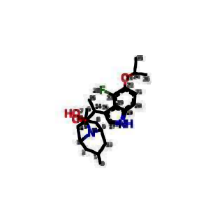 CC1CC2CC(C)(O)CC(C1)N2C(=O)C(C)c1c[nH]c2ccc(OC(C)C)c(F)c12